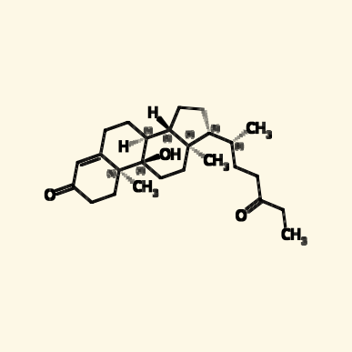 CCC(=O)CC[C@@H](C)[C@H]1CC[C@H]2[C@@H]3CCC4=CC(=O)CC[C@]4(C)[C@@]3(O)CC[C@]12C